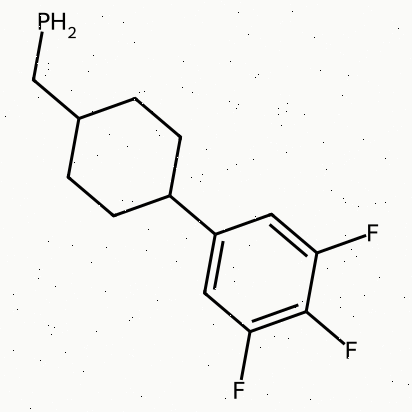 Fc1cc(C2CCC(CP)CC2)cc(F)c1F